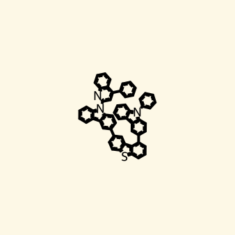 c1ccc(-c2cc(-n3c4ccccc4c4cc(-c5ccc6sc7cccc(-c8ccc9c(c8)c8ccccc8n9-c8ccccc8)c7c6c5)ccc43)nc3ccccc23)cc1